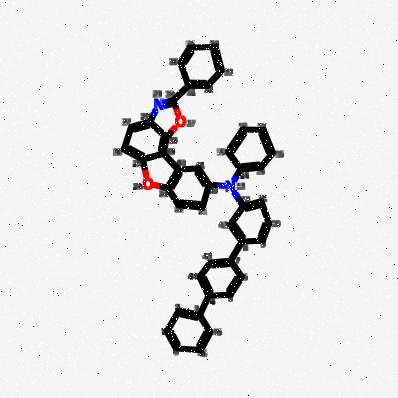 c1ccc(-c2ccc(-c3cccc(N(c4ccccc4)c4ccc5oc6ccc7nc(-c8ccccc8)oc7c6c5c4)c3)cc2)cc1